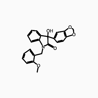 COc1ccccc1CN1C(=O)C(O)(c2ccc3c(c2)OCO3)c2ccccc21